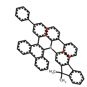 CC1(C)c2ccccc2-c2ccc(N(c3ccccc3-c3ccccc3)c3c(-c4cccc(-c5ccccc5)c4)c4ccccc4c4ccccc34)cc21